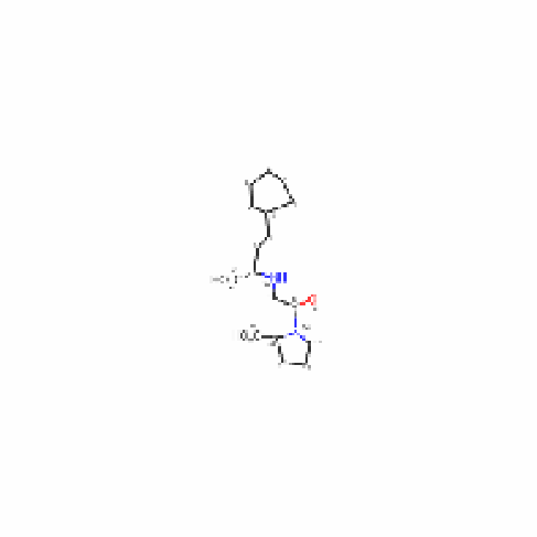 O=C(O)[C@H](CCC1CCCCC1)NCC(O)N1CCC[C@H]1C(=O)O